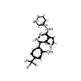 Oc1cc(C(F)(F)F)ccc1-c1nnc(N[C@@H]2CCCNC2)c2ccoc12